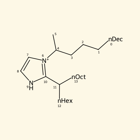 CCCCCCCCCCCCCC(C)[n+]1cc[nH]c1C(CCCCCC)CCCCCCCC